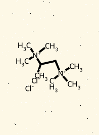 CC(C[N+](C)(C)C)[N+](C)(C)C.[Cl-].[Cl-]